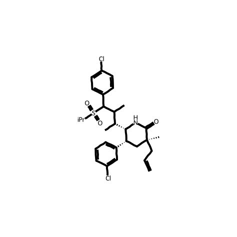 C=CC[C@@]1(C)C[C@H](c2cccc(Cl)c2)[C@H](C(C)C(C)C(c2ccc(Cl)cc2)S(=O)(=O)C(C)C)NC1=O